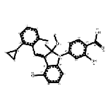 COC1(C)/C(=C\c2c(C)cccc2C2CC2)c2c(Cl)cccc2N1c1ccc(C(=O)O)c(O)c1